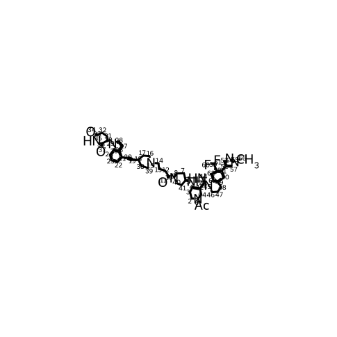 CC(=O)N1CCC(NC2CCN(C(=O)CCCN3CCC(C#Cc4cccc5c4ccn5C4CCC(=O)NC4=O)CC3)CC2)=C(C(=N)N2CCCc3cc(-c4cnn(C)c4)c(C(F)F)cc32)C1